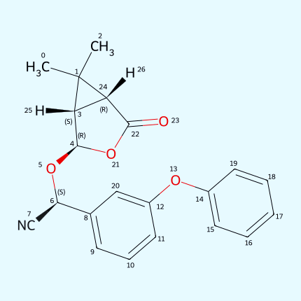 CC1(C)[C@H]2[C@H](O[C@H](C#N)c3cccc(Oc4ccccc4)c3)OC(=O)[C@H]21